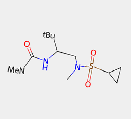 CNC(=O)NC(CN(C)S(=O)(=O)C1CC1)C(C)(C)C